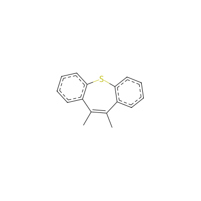 CC1=C(C)c2ccccc2Sc2ccccc21